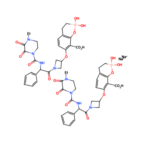 CCN1CCN(C(=O)NC(C(=O)N2CC(Oc3ccc4c(c3C(=O)O)O[B-](O)(O)CC4)C2)c2ccccc2)C(=O)C1=O.CCN1CCN(C(=O)NC(C(=O)N2CC(Oc3ccc4c(c3C(=O)O)O[B-](O)(O)CC4)C2)c2ccccc2)C(=O)C1=O.[Na+].[Na+]